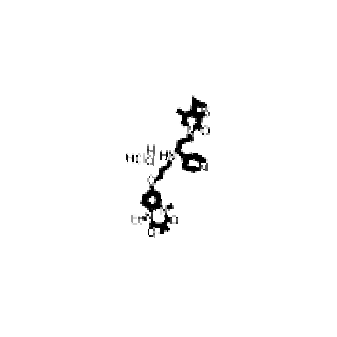 CCN1C(=O)C(C)(C)C(=O)N(C)c2cc(OCCCNC(CCn3cc(C)c4ccsc4c3=O)c3ccncc3)ccc21.Cl.Cl